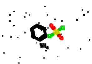 O=S(=O)(Cl)Cl.[SiH4].c1ccccc1